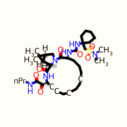 CCCNC(=O)C(=O)[C@@H]1CCCCCCCCCC[C@H](NC(=O)NC2(CS(=O)(=O)N(C)C)CCCCC2)C(=O)N2C[C@H]3[C@@H]([C@H]2C(=O)N1)C3(C)C